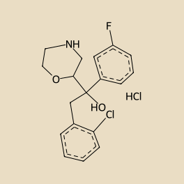 Cl.OC(Cc1ccccc1Cl)(c1cccc(F)c1)C1CNCCO1